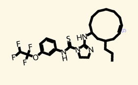 CCCC1C/C=C\CCCCCCC(NC2=NCCN2C(=S)Nc2cccc(OC(F)(F)C(F)F)c2)C1